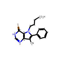 N#Cc1c(-c2ccccc2)n(CCCC(=O)O)c2c(=S)[nH]cnc12